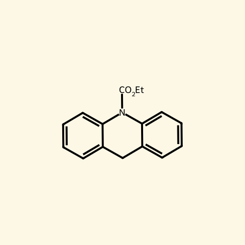 CCOC(=O)N1c2ccccc2Cc2ccccc21